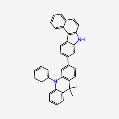 CC1(C)c2ccccc2N(C2=CC=CCC2)c2cc(-c3ccc4c(c3)[nH]c3ccc5ccccc5c34)ccc21